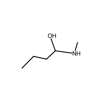 CCCC(O)NC